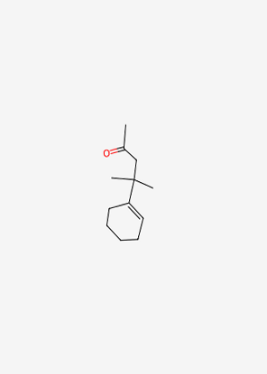 CC(=O)CC(C)(C)C1=CCCCC1